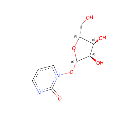 O=c1ncccn1O[C@@H]1O[C@H](CO)[C@@H](O)[C@H]1O